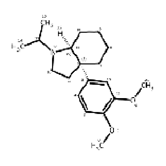 COc1ccc([C@@]23CCCC[C@@H]2N(C(C)C)CC3)cc1OC